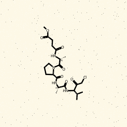 COC(=O)CCC(=O)N[C@H](C)C(=O)N1CCCC1C(=O)N[C@@H](C)C(=O)NC(C(=O)CCl)C(C)C